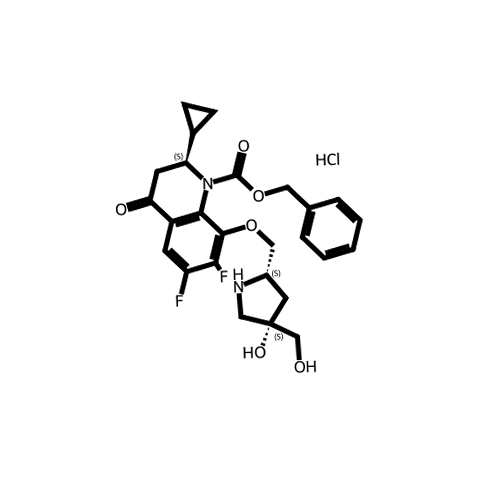 Cl.O=C1C[C@@H](C2CC2)N(C(=O)OCc2ccccc2)c2c1cc(F)c(F)c2OC[C@@H]1C[C@@](O)(CO)CN1